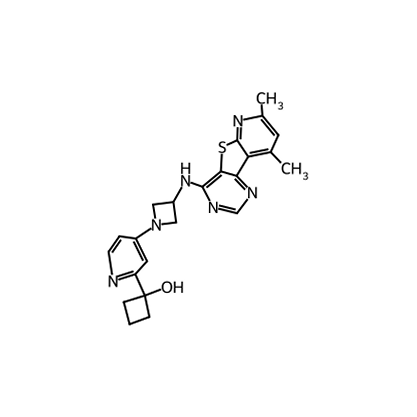 Cc1cc(C)c2c(n1)sc1c(NC3CN(c4ccnc(C5(O)CCC5)c4)C3)ncnc12